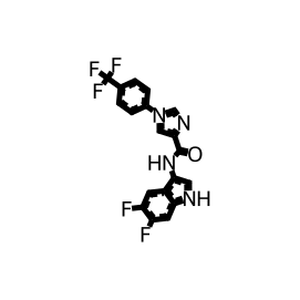 O=C(Nc1c[nH]c2cc(F)c(F)cc12)c1cn(-c2ccc(C(F)(F)F)cc2)cn1